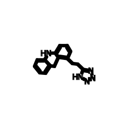 c1ccc2c(c1)Cc1c(CCc3nnn[nH]3)cccc1N2